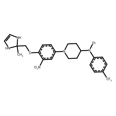 CCN(c1ccc(C(F)(F)F)cc1)C1CCN(c2ccc(OCC3(C)NC=CN3)c([N+](=O)[O-])c2)CC1